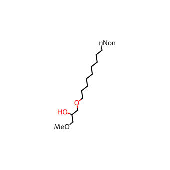 CCCCCCCCCCCCCCCCCCOCC(O)COC